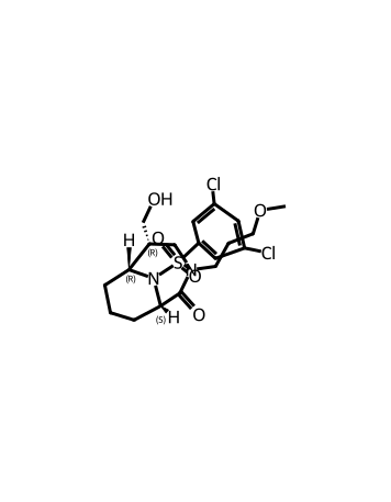 COCCCN1C[C@@H](CO)[C@H]2CCC[C@@H](C1=O)N2S(=O)(=O)c1cc(Cl)cc(Cl)c1